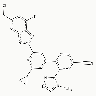 Cn1cnnc1-c1cc(C#N)ccc1-c1cc(-c2nc3cc(CCl)cc(F)c3o2)nc(C2CC2)c1